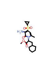 COC(=O)C(CC1CCCCC1)n1c(C)cc(S(=O)(=O)C2CC2)c(N)c1=O